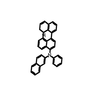 C1=Cc2cccc3c2[C@@H](C1)c1cccc2c(N(c4ccccc4)c4ccc5ccccc5c4)ccc-3c12